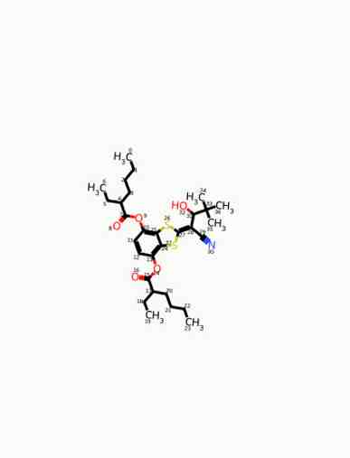 CCCCC(CC)C(=O)Oc1ccc(OC(=O)C(CC)CCCC)c2c1SC(=C(C#N)C(O)C(C)(C)C)S2